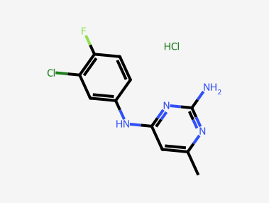 Cc1cc(Nc2ccc(F)c(Cl)c2)nc(N)n1.Cl